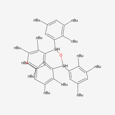 CCCCc1cc(CCCC)c(CCCC)c([SiH](O[SiH](c2cc(CCCC)cc(CCCC)c2CCCC)c2cc(CCCC)cc(CCCC)c2CCCC)c2cc(CCCC)cc(CCCC)c2CCCC)c1